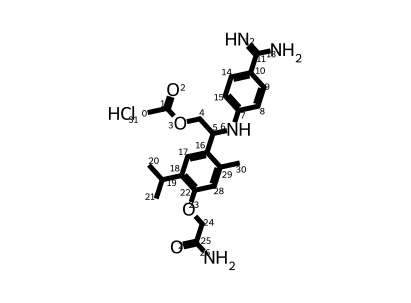 CC(=O)OCC(Nc1ccc(C(=N)N)cc1)c1cc(C(C)C)c(OCC(N)=O)cc1C.Cl